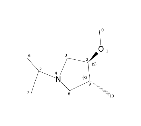 CO[C@@H]1CN(C(C)C)C[C@H]1C